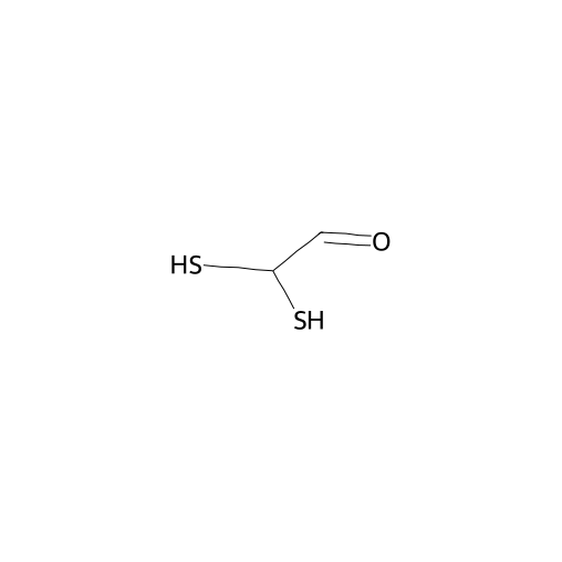 O=CC(S)S